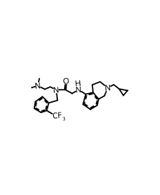 CN(C)CCN(Cc1ccccc1C(F)(F)F)C(=O)CNc1cccc2c1CCN(CC1CC1)C2